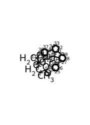 C=C(C)C(=O)OCCCC1(CCCOC(=O)C(=C)C)c2c(-c3ccccc3)cccc2-c2cccc(-c3ccccc3)c21